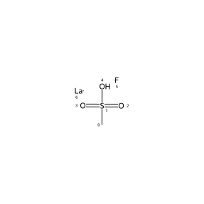 CS(=O)(=O)O.[F].[La]